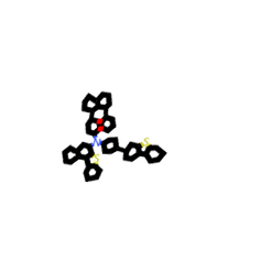 c1ccc(-c2cccc3cccc(-c4ccc(N(c5ccc(-c6ccc7c(c6)sc6ccccc67)cc5)c5cc6ccccc6c6c5sc5ccccc56)cc4)c23)cc1